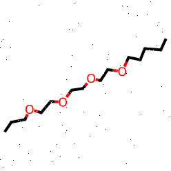 CCCCCOCCOCCOCCOCCC